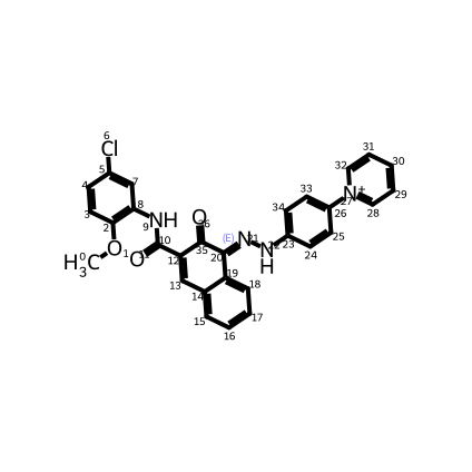 COc1ccc(Cl)cc1NC(=O)C1=Cc2ccccc2/C(=N\Nc2ccc(-[n+]3ccccc3)cc2)C1=O